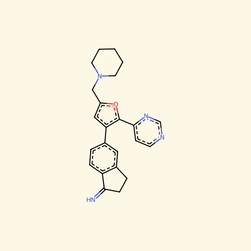 N=C1CCc2cc(-c3cc(CN4CCCCC4)oc3-c3ccncn3)ccc21